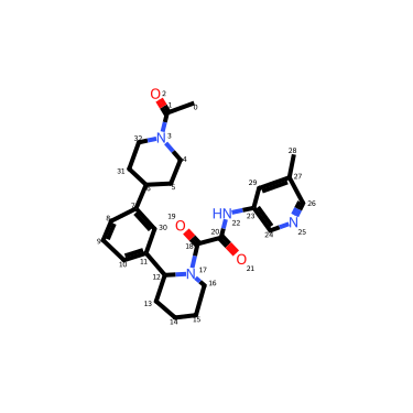 CC(=O)N1CCC(c2cccc(C3CCCCN3C(=O)C(=O)Nc3cncc(C)c3)c2)CC1